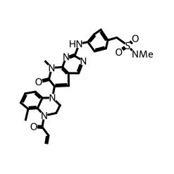 C=CC(=O)N1CCN(c2cc3cnc(Nc4ccc(CS(=O)(=O)NC)cc4)nc3n(C)c2=O)c2cccc(C)c21